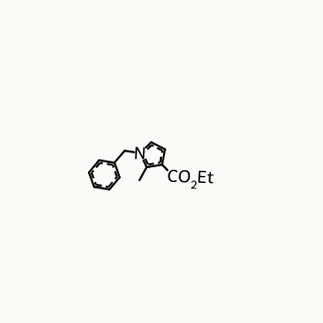 CCOC(=O)c1ccn(Cc2ccccc2)c1C